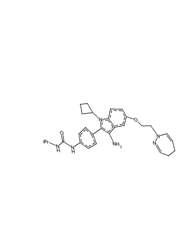 CC(C)NC(=O)Nc1ccc(-c2c(N)c3cc(OCCN4C=CCCC=N4)ccc3n2C2CCC2)cc1